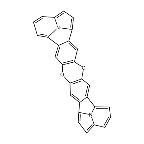 c1cc2ccc3c4cc5c(cc4c(c1)n23)Oc1cc2c(cc1O5)c1cccc3ccc2n31